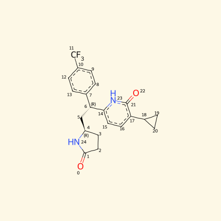 O=C1CC[C@H](C[C@H](c2ccc(C(F)(F)F)cc2)c2ccc(C3CC3)c(=O)[nH]2)N1